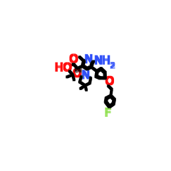 Cc1nc(N)c(-c2ccc(OCCc3ccc(F)cc3)cc2)c(N2CCC(C)(C)CC2)c1[C@H](OC(C)(C)C)C(=O)O